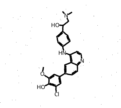 COc1cc(-c2ccc3nc[c]c(Nc4ccc(C(O)CN(C)C)cc4)c3c2)cc(Cl)c1O